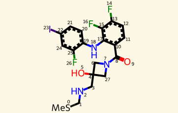 CSCNCC1(O)CN(C(=O)c2ccc(F)c(F)c2Nc2ccc(I)cc2F)C1